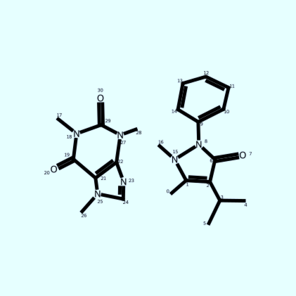 Cc1c(C(C)C)c(=O)n(-c2ccccc2)n1C.Cn1c(=O)c2c(ncn2C)n(C)c1=O